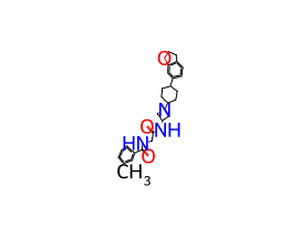 Cc1cccc(C(=O)NCC(=O)NC2CN(C3CCC(c4ccc5c(c4)OCC5)CC3)C2)c1